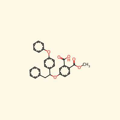 COC(=O)c1ccc(OC(Cc2ccccc2)c2ccc(Oc3ccccc3)cc2)cc1C(=O)O